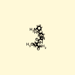 Cn1cc(NC(=O)c2cnn3ccc(N[C@@H]4CCCC[C@H]4N)nc23)c(C(N)=O)n1